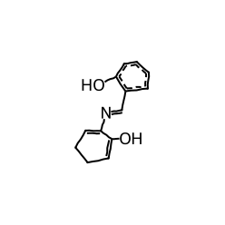 OC1=CCCC=C1/N=C/c1ccccc1O